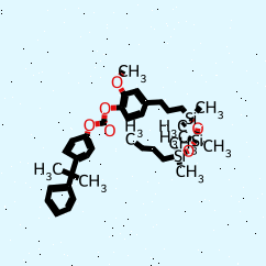 CCCC[Si](C)(C)O[Si](C)(C)O[Si](C)(C)CCCc1ccc(OC(=O)Oc2ccc(C(C)(C)c3ccccc3)cc2)c(OC)c1